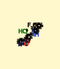 Cl.O=C1OC2(CCC(CNc3ccc(-c4ccccc4C(F)(F)F)cn3)CC2)CN1c1cccnn1